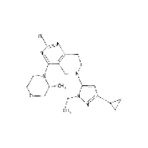 CCn1nc(C2CC2)cc1N1CCc2nc(Cl)nc(N3CCOC[C@H]3C)c2C1